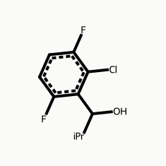 CC(C)C(O)c1c(F)ccc(F)c1Cl